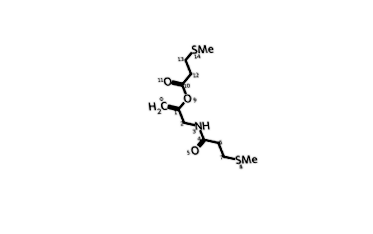 C=C(CNC(=O)CCSC)OC(=O)CCSC